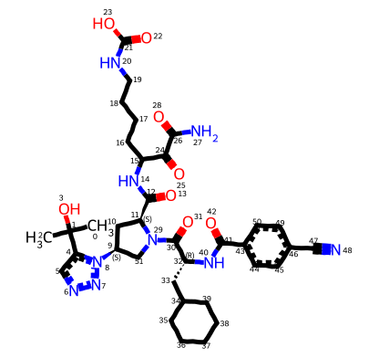 CC(C)(O)c1cnnn1[C@H]1C[C@@H](C(=O)NC(CCCCNC(=O)O)C(=O)C(N)=O)N(C(=O)[C@@H](CC2CCCCC2)NC(=O)c2ccc(C#N)cc2)C1